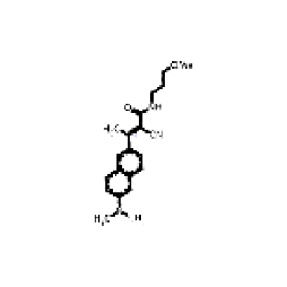 COCCCNC(=O)/C(C#N)=C(\C)c1ccc2cc(N(C)C)ccc2c1